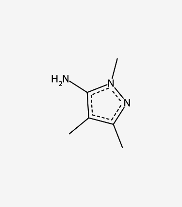 Cc1nn(C)c(N)c1C